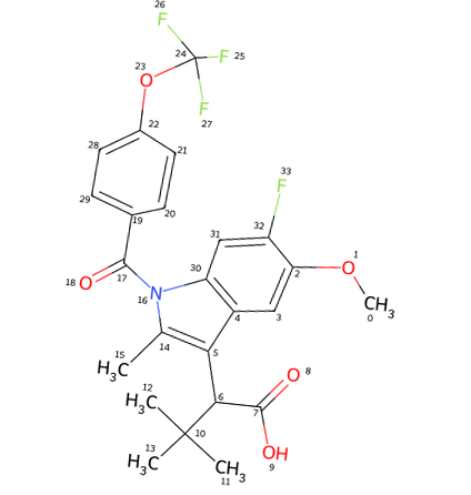 COc1cc2c(C(C(=O)O)C(C)(C)C)c(C)n(C(=O)c3ccc(OC(F)(F)F)cc3)c2cc1F